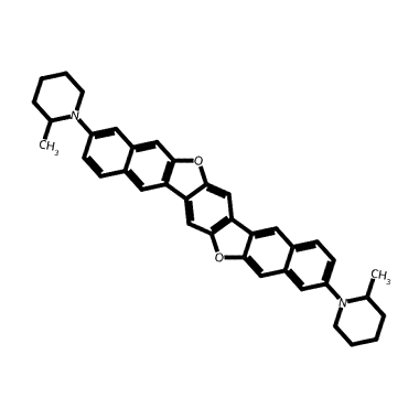 CC1CCCCN1c1ccc2cc3c(cc2c1)oc1cc2c(cc13)oc1cc3cc(N4CCCCC4C)ccc3cc12